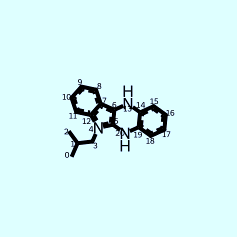 CC(C)Cn1c2c(c3ccccc31)Nc1ccccc1N2